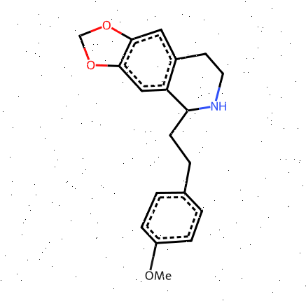 COc1ccc(CCC2NCCc3cc4c(cc32)OCO4)cc1